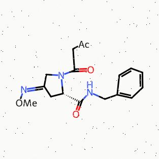 CO/N=C1\C[C@@H](C(=O)NCc2ccccc2)N(C(=O)CC(C)=O)C1